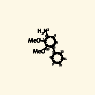 COc1c(N)ccc(-c2ccccc2)c1OC